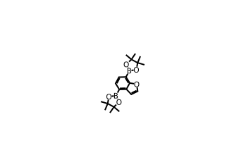 CC1(C)OB(c2ccc(B3OC(C)(C)C(C)(C)O3)c3occc23)OC1(C)C